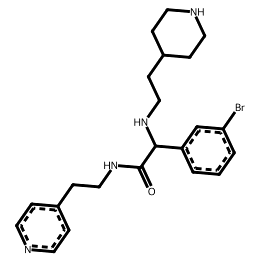 O=C(NCCc1ccncc1)C(NCCC1CCNCC1)c1cccc(Br)c1